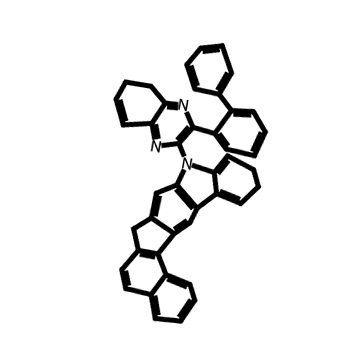 C1=Cc2nc(-n3c4c(c5cc6c(cc53)Cc3ccc5ccccc5c3-6)=CCCC=4)c(-c3ccccc3-c3ccccc3)nc2CC1